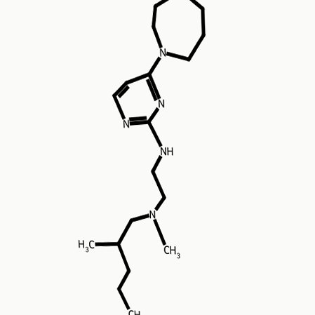 CCCC(C)CN(C)CCNc1nccc(N2CCCCCC2)n1